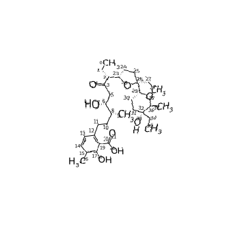 CC[C@@H](C(=O)C[C@@H](O)[C@H](C)CCc1ccc(C)c(O)c1C(=O)O)[C@@H]1CC[C@@](CC)([C@H]2CC[C@](O)(CC)[C@H](C)O2)O1